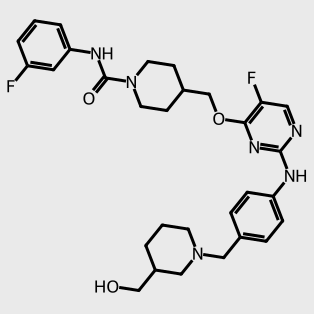 O=C(Nc1cccc(F)c1)N1CCC(COc2nc(Nc3ccc(CN4CCCC(CO)C4)cc3)ncc2F)CC1